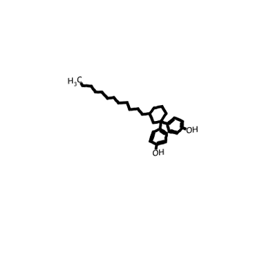 CCCCCCCCCCCCC1CCCC(c2ccc(O)cc2)(c2ccc(O)cc2)C1